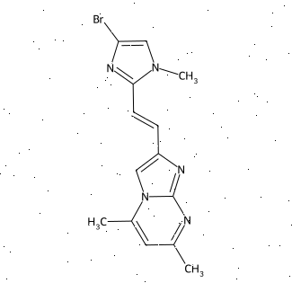 Cc1cc(C)n2cc(/C=C/c3nc(Br)cn3C)nc2n1